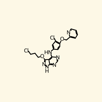 ClCCCOc1n[nH]c2ncnc(Nc3ccc(OCc4ccccn4)c(Cl)c3)c12